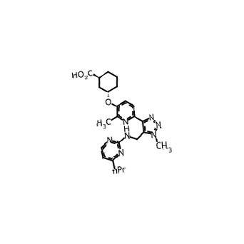 CCCc1ccnc(NCc2c(-c3ccc(O[C@H]4CCC[C@H](C(=O)O)C4)c(C)n3)nnn2C)n1